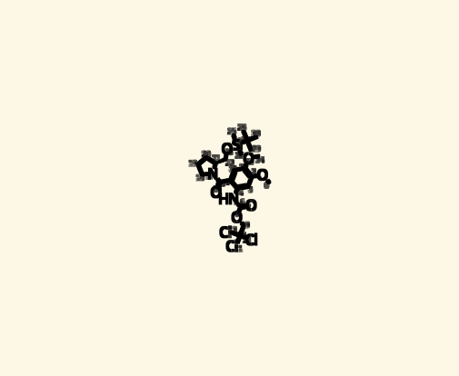 COc1cc(NC(=O)OCC(Cl)(Cl)Cl)c(C(=O)N2CCC[C@H]2CO[Si](C)(C)C(C)(C)C)cc1OC